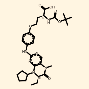 CC[C@@H]1C(=O)N(C)c2cnc(Nc3ccc(OCC[C@H](NC(=O)OC(C)(C)C)C(=O)O)cc3)nc2N1C1CCCC1